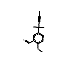 CC#CC(C)(C)c1ccc(OC)c(C=O)c1